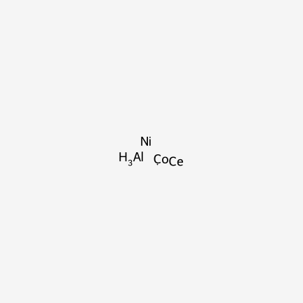 [AlH3].[Ce].[Co].[Ni]